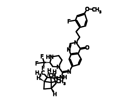 COc1ccc(CCn2cnc3cc(N=C(N[C@H]4C[C@@H]5C[C@@H]([C@H]4C)C5(C)C)N4CCN[C@@H](C(F)(F)F)C4)ccc3c2=O)c(F)c1